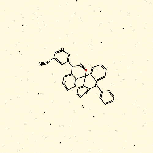 N#Cc1cncc(N2c3ccccc3C3(c4ccccc4N(c4ccccc4)c4ccccc43)c3ccccc32)c1